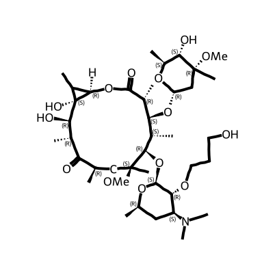 CO[C@]1(C)C[C@H](O[C@H]2[C@H](C)[C@@H](O[C@@H]3O[C@H](C)C[C@H](N(C)C)[C@H]3OCCCO)[C@@](C)(OC)C[C@@H](C)C(=O)[C@H](C)[C@@H](O)[C@@]3(O)C(C)[C@H]3OC(=O)[C@@H]2C)O[C@@H](C)[C@@H]1O